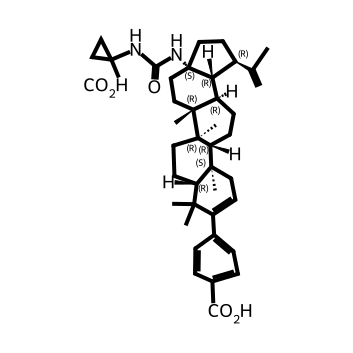 C=C(C)[C@@H]1CC[C@]2(NC(=O)NC3(C(=O)O)CC3)CC[C@]3(C)[C@H](CC[C@@H]4[C@@]5(C)CC=C(c6ccc(C(=O)O)cc6)C(C)(C)[C@@H]5CC[C@]43C)[C@@H]12